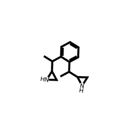 CC(c1ccccc1C(C)C1CN1)C1CN1